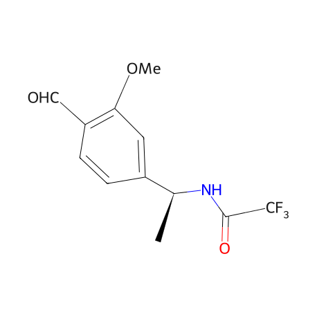 COc1cc([C@H](C)NC(=O)C(F)(F)F)ccc1C=O